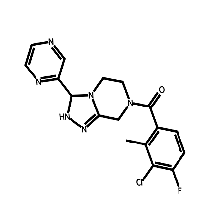 Cc1c(C(=O)N2CCN3C(=NNC3c3cnccn3)C2)ccc(F)c1Cl